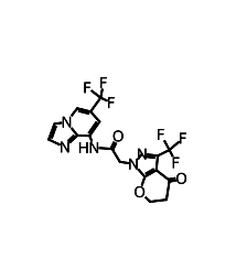 O=C(Cn1nc(C(F)(F)F)c2c1OCCC2=O)Nc1cc(C(F)(F)F)cn2ccnc12